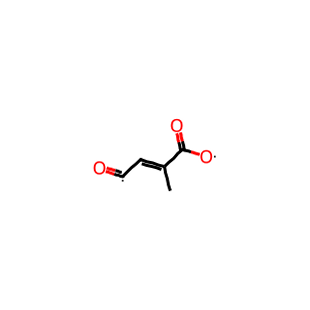 C/C(=C\[C]=O)C([O])=O